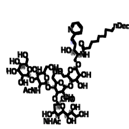 CCCCCCCCCCCCCCCCCC(=O)N[C@@H](CO[C@@H]1OC(CO)[C@@H](O[C@@H]2OC(CO)[C@H](O[C@@H]3OC(CO)[C@H](O)C(O[C@@H]4OC(CO)[C@H](O)C(O)C4O)C3NC(C)=O)C(O[C@]3(C=O)CC(O)[C@@H](NC(C)=O)C([C@H](O)[C@H](O)CO)O3)C2O)C(O)C1O)[C@H](O)/C=C/c1ccccn1